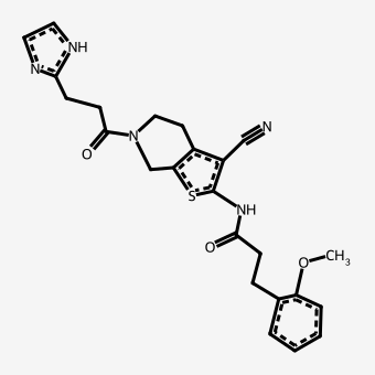 COc1ccccc1CCC(=O)Nc1sc2c(c1C#N)CCN(C(=O)CCc1ncc[nH]1)C2